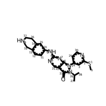 CSc1cc(-n2c3nc(Nc4ccc5c(c4)CCNC5)ncc3c(=O)n2C(C)C)ccn1